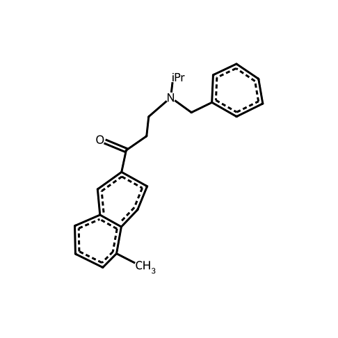 Cc1cccc2cc(C(=O)CCN(Cc3ccccc3)C(C)C)ccc12